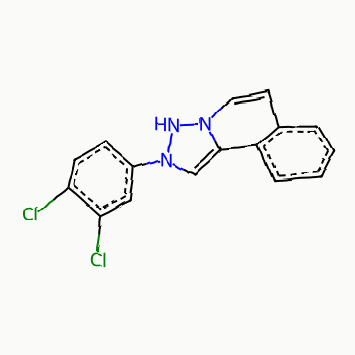 Clc1ccc(N2C=C3c4ccccc4C=CN3N2)cc1Cl